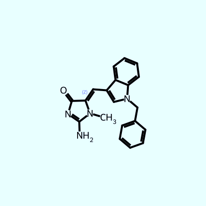 CN1C(N)=NC(=O)/C1=C/c1cn(Cc2ccccc2)c2ccccc12